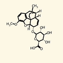 COc1ccc2c3c1O[C@H]1[C@@H](OC4O[C@H](C(=O)O)[C@@H](O)[C@H](O)[C@H]4O)C=C[C@H]4[C@@H](C2)N(C)CC[C@@]341